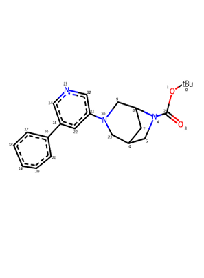 CC(C)(C)OC(=O)N1CC2CC1CN(c1cncc(-c3ccccc3)c1)C2